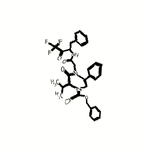 CC(C)C1C(=O)N(CC(=O)NC(Cc2ccccc2)C(=O)C(F)(F)F)C(c2ccccc2)=CN1C(=O)OCc1ccccc1